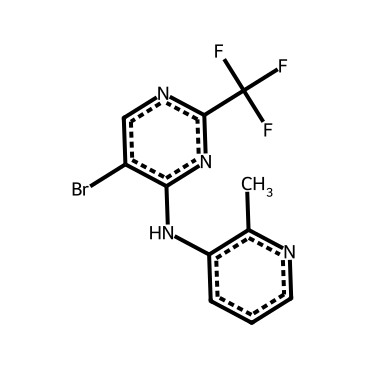 Cc1ncccc1Nc1nc(C(F)(F)F)ncc1Br